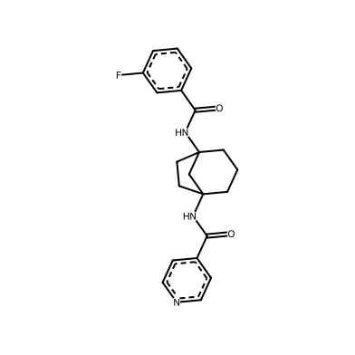 O=C(NC12CCCC(NC(=O)c3cccc(F)c3)(CC1)C2)c1ccncc1